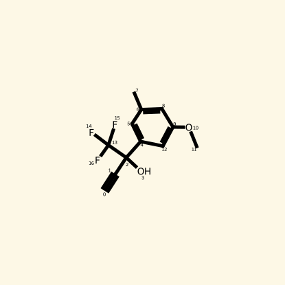 C#CC(O)(c1cc(C)cc(OC)c1)C(F)(F)F